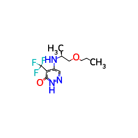 CCCOC[C@H](C)Nc1cn[nH]c(=O)c1C(F)(F)F